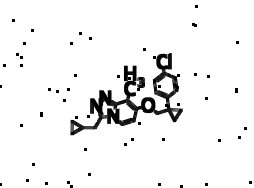 Cc1c(OCC2(c3ccc(Cl)cc3)CC2)ccn2c(CC3CC3)nnc12